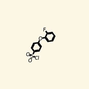 O=S(=O)(Cl)c1ccc(Oc2ccccc2F)cc1